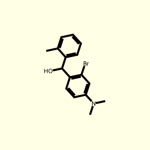 Cc1ccccc1C(O)c1ccc(N(C)C)cc1Br